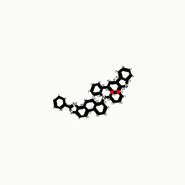 C1=CCCC(c2nc3c(ccc4c5cccc(N(c6ccccc6)c6ccccc6-c6ccc7sc8ccccc8c7c6)c5ccc43)s2)=C1